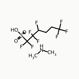 CNC.O=S(=O)(O)C(F)(F)C(F)(F)C(F)CCC(F)(F)F